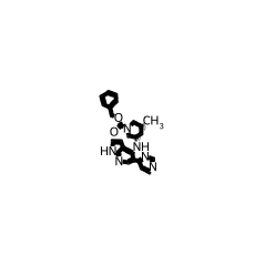 C[C@@H]1C[C@H](Nc2c(-c3ccncn3)cnc3[nH]ccc23)CN(C(=O)OCc2ccccc2)C1